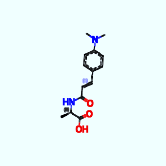 C[C@@H](NC(=O)/C=C/c1ccc(N(C)C)cc1)C(=O)O